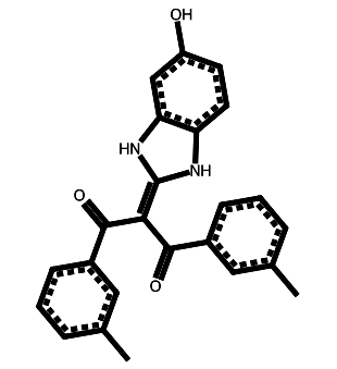 Cc1cccc(C(=O)C(C(=O)c2cccc(C)c2)=C2Nc3ccc(O)cc3N2)c1